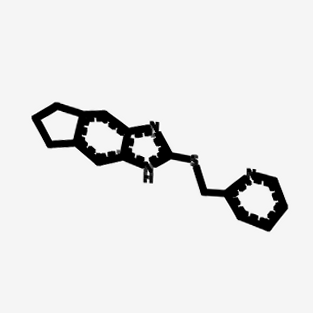 c1ccc(CSc2nc3cc4c(cc3[nH]2)CCC4)nc1